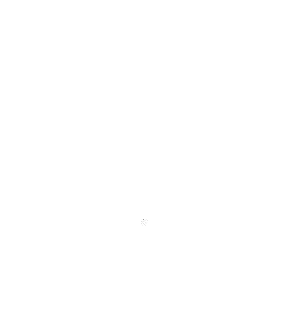 N#CC1(c2ccc(OC(F)F)c(OCC3CC3)c2)CCC(=O)C(OCC(=O)O)C1